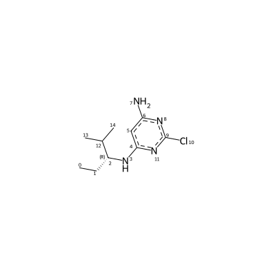 CC[C@@H](Nc1cc(N)nc(Cl)n1)C(C)C